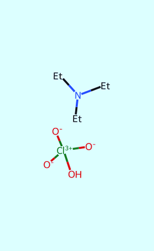 CCN(CC)CC.[O-][Cl+3]([O-])([O-])O